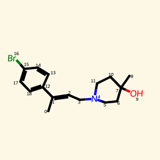 C/C(=C\CN1CCC(C)(O)CC1)c1ccc(Br)cc1